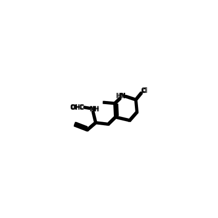 C=CC(CC1=C(C)NC(Cl)CC1)NC=O